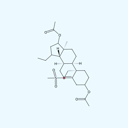 CCC1CC(OC(C)=O)[C@@]2(C)CC[C@@H]3[C@@H](CC=C4CC(OC(C)=O)CC[C@@]43COS(C)(=O)=O)[C@H]12